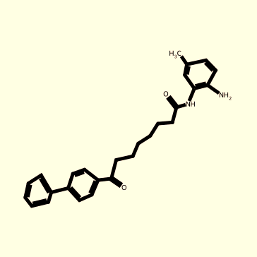 Cc1ccc(N)c(NC(=O)CCCCCCC(=O)c2ccc(-c3ccccc3)cc2)c1